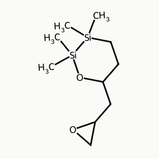 C[Si]1(C)CCC(CC2CO2)O[Si]1(C)C